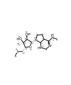 CNC1=NCNC2C1CCN2[C@@H]1O[C@H](CSC)[C@@](C)(O)[C@H]1O